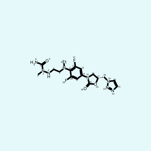 CCN(CCNN(C)C(N)=O)c1c(F)cc(N2C[C@H](Cn3ccnn3)OC2=O)cc1F